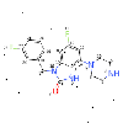 O=c1[nH]c2c(N3CCNCC3)cc(F)cc2n1Cc1cccc(F)c1